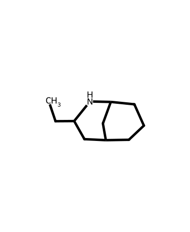 CCC1CC2CCCC(C2)N1